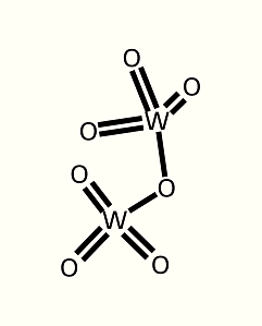 [O]=[W](=[O])(=[O])[O][W](=[O])(=[O])=[O]